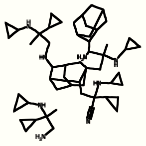 CC(CN)(NC1CC1)C1CC1.CC(CNC1C2CC3CC1C(CC(C#N)(NC1CC1)C1CC1)C(CC(C)(NC1CC1)C(N)C1C4CC5CC(C4)CC1C5)(C3)C2)(NC1CC1)C1CC1